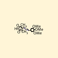 COc1cc(/C=C/C=N/c2c(C)c(=O)[nH]c(=O)n2C)cc(OC)c1OC